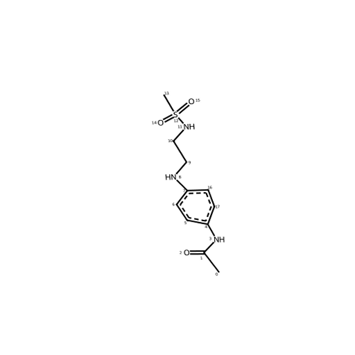 CC(=O)Nc1ccc(NCCNS(C)(=O)=O)cc1